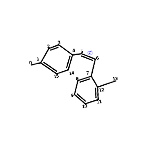 Cc1ccc(/C=C\c2ccccc2C)cc1